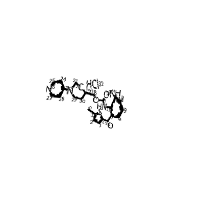 Cc1ccc(C(=O)c2cccc(N)c2NC(=O)OCC2CCN(c3ccncc3)CC2)s1.Cl